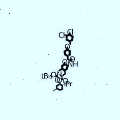 CC(C)[C@@H]1CC[C@@H](C)CC1OC(=O)[C@@H]1Cc2cc3c(cc2CN1C(=O)OC(C)(C)C)OC(c1ccc(OCc2ccc(Cl)c(Cl)c2)cc1)C(=O)N3